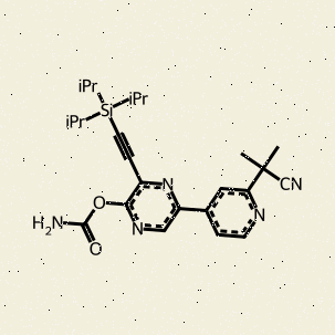 CC(C)[Si](C#Cc1nc(-c2ccnc(C(C)(C)C#N)c2)cnc1OC(N)=O)(C(C)C)C(C)C